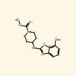 COc1cccc2nc(NC3CCN(C(=O)OC(C)(C)C)CC3)oc12